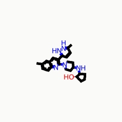 CC(=N)/C=C\C(=N)c1cc2cc(C)ccc2nc1N1CCC(NC2CCC[C@@H]2O)CC1